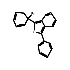 BrC1(c2oc(-c3ccccc3)c3ccccc23)C=CC=CC1